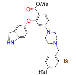 COC(=O)c1ccc(N2CCN(Cc3ccc(C(C)(C)C)cc3Br)CC2)cc1Oc1ccc2[nH]ccc2c1